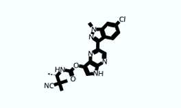 C[C@H](NC(=O)Oc1c[nH]c2ncc(-c3nn(C)c4cc(Cl)ccc34)nc12)C(C)(C)C#N